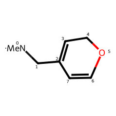 C[N]CC1=CCOC=C1